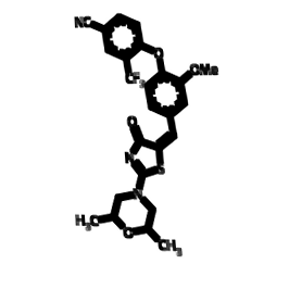 COc1cc(C=C2SC(N3CC(C)OC(C)C3)=NC2=O)ccc1Oc1ccc(C#N)cc1C(F)(F)F